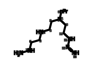 CCCN(CCNCCNN)CCNN=N